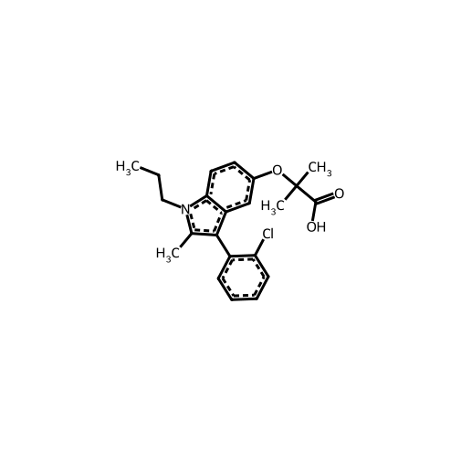 CCCn1c(C)c(-c2ccccc2Cl)c2cc(OC(C)(C)C(=O)O)ccc21